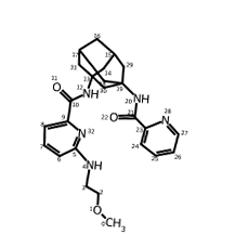 COCCNc1cccc(C(=O)NC23CC4CC(CC(NC(=O)c5ccccn5)(C4)C2)C3)n1